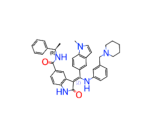 C[C@@H](NC(=O)c1ccc2c(c1)/C(=C(/Nc1cccc(CN3CCCCC3)c1)c1ccc3c(ccn3C)c1)C(=O)N2)c1ccccc1